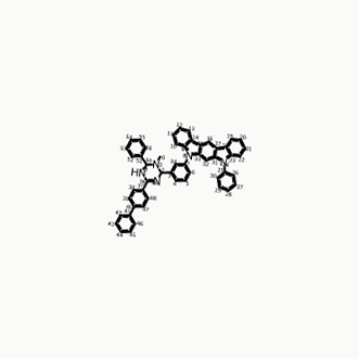 CN1C(c2cccc(-n3c4ccccc4c4cc5c6ccccc6n(-c6ccccc6)c5cc43)c2)N=C(c2ccc(-c3ccccc3)cc2)NC1c1ccccc1